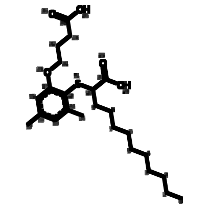 CCCCCCCCCCC(Sc1c(C)cc(C)cc1OCCCC(=O)O)C(=O)O